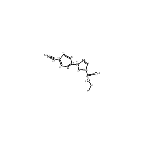 CCOC(=O)c1cnn(-c2ccc(C#N)cc2)c1